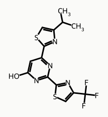 CC(C)c1csc(-c2cc(O)nc(-c3nc(C(F)(F)F)cs3)n2)n1